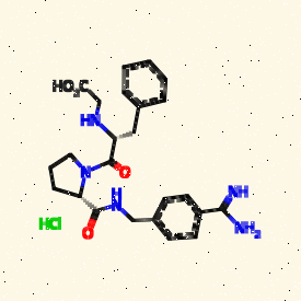 Cl.N=C(N)c1ccc(CNC(=O)[C@@H]2CCCN2C(=O)[C@@H](Cc2ccccc2)NCC(=O)O)cc1